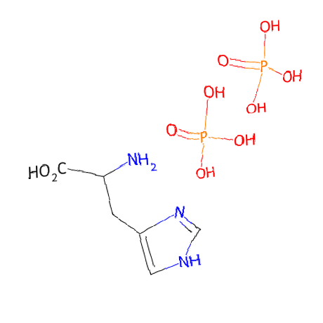 NC(Cc1c[nH]cn1)C(=O)O.O=P(O)(O)O.O=P(O)(O)O